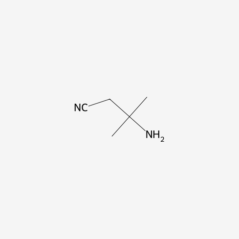 CC(C)(N)CC#N